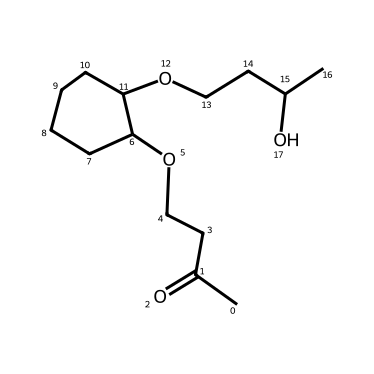 CC(=O)CCOC1CCCCC1OCCC(C)O